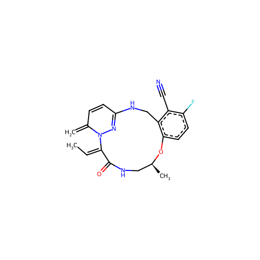 C=C1C=CC2=NN1/C(=C\C)C(=O)NC[C@H](C)Oc1ccc(F)c(C#N)c1CN2